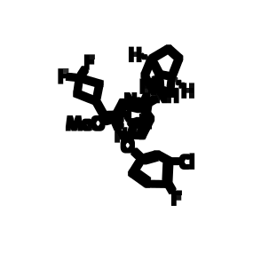 COc1cc(N2C[C@H]3CC[C@@H](C2)[C@H]3Nc2nc(Oc3ccc(F)c(Cl)c3)n(CC3CC(F)(F)C3)n2)ccn1